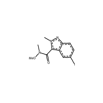 CON(C)C(=O)c1c2cc(I)ccc2nn1C